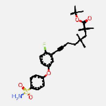 CC(C)(CCC#Cc1cc(Oc2ccc(S(N)(=O)=O)cc2)ccc1F)CC(C)(C)C(=O)OC(C)(C)C